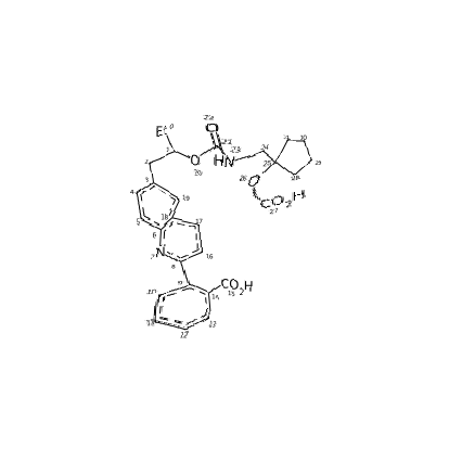 CCC(Cc1ccc2nc(-c3ccccc3C(=O)O)ccc2c1)OC(=O)NCC1(OC(=O)O)CCCC1